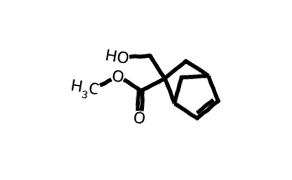 COC(=O)C1(CO)CC2C=CC1C2